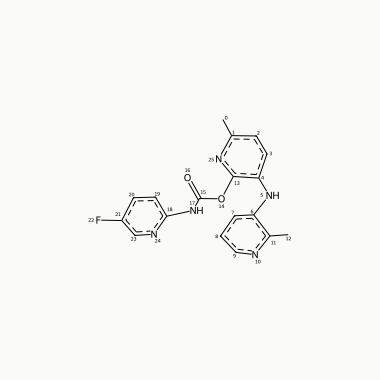 Cc1ccc(Nc2cccnc2C)c(OC(=O)Nc2ccc(F)cn2)n1